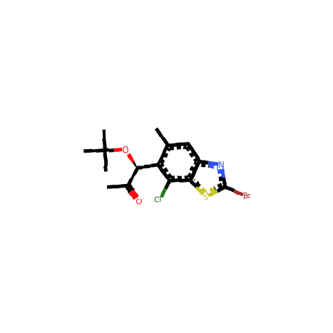 CC(=O)[C@@H](OC(C)(C)C)c1c(C)cc2nc(Br)sc2c1Cl